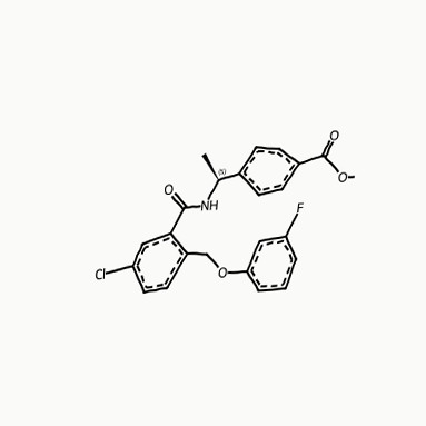 COC(=O)c1ccc([C@H](C)NC(=O)c2cc(Cl)ccc2COc2cccc(F)c2)cc1